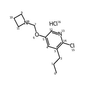 CCCc1cc(OCN2CCC2)cnc1Cl.Cl